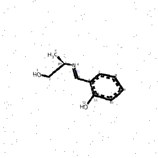 C[C@H](CO)/N=C/c1ccccc1O